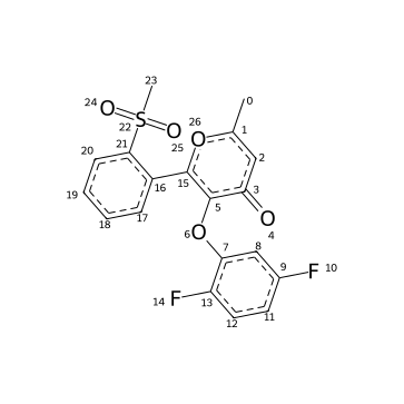 Cc1cc(=O)c(Oc2cc(F)ccc2F)c(-c2ccccc2S(C)(=O)=O)o1